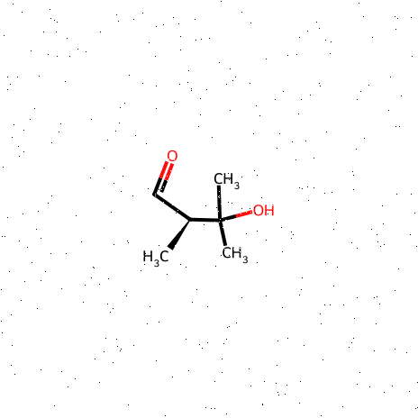 C[C@@H](C=O)C(C)(C)O